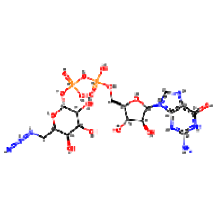 [N-]=[N+]=NCC1O[C@H](OP(=O)(O)OP(=O)(O)OC[C@H]2O[C@@H](n3cnc4c(=O)[nH]c(N)nc43)[C@@H](O)C2O)C(O)C(O)[C@H]1O